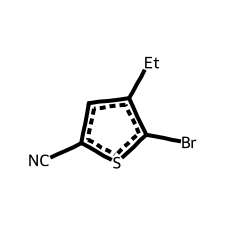 CCc1cc(C#N)sc1Br